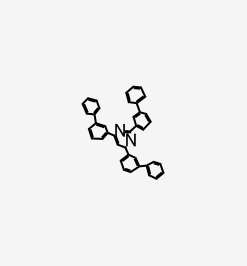 c1ccc(-c2cccc(-c3cc(-c4cccc(-c5ccccc5)c4)nc(-c4cccc(-c5ccccc5)c4)n3)c2)cc1